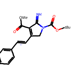 COC(=O)C1=C(/C=C/c2ccccc2)CN(C(=O)OC(C)(C)C)C1=N